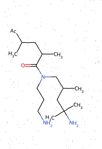 CC(=O)C(C)CC(C)C(=O)N(CCCN)CC(C)CC(C)(C)N